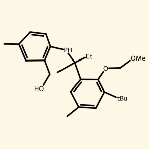 CCC(C)(Pc1ccc(C)cc1CO)c1cc(C)cc(C(C)(C)C)c1OCOC